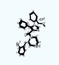 COC[C@]1(O)CCCC[C@H]1n1cnc(C(=O)N2CCNC[C@H]2Cc2ccccc2Br)c1-c1ccccc1